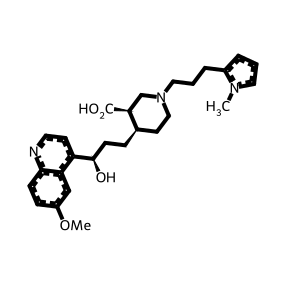 COc1ccc2nccc([C@H](O)CC[C@@H]3CCN(CCCc4cccn4C)C[C@@H]3C(=O)O)c2c1